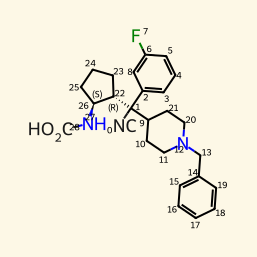 N#CC(c1cccc(F)c1)(C1CCN(Cc2ccccc2)CC1)[C@H]1CCC[C@@H]1NC(=O)O